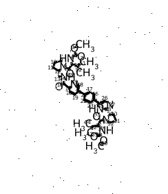 COC(=O)N[C@H](C(=O)N1CCC[C@H]1CNC(=O)c1ccc(-c2ccc(-c3cnc([C@@H]4CCCN4C(=O)[C@@H](NC(=O)OC)C(C)C)[nH]3)cc2)cn1)C(C)C